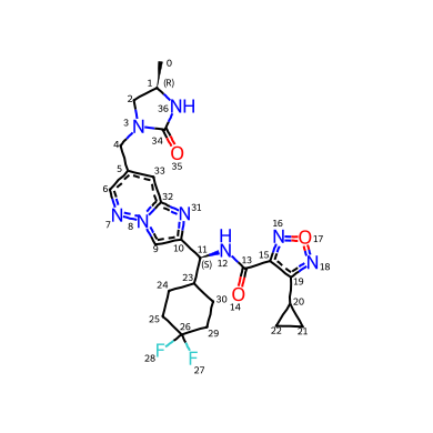 C[C@@H]1CN(Cc2cnn3cc([C@@H](NC(=O)c4nonc4C4CC4)C4CCC(F)(F)CC4)nc3c2)C(=O)N1